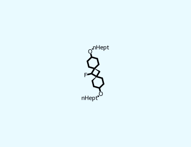 CCCCCCCOC1CC[C@]2(CC1)C[C@@]1(CCC(OCCCCCCC)CC1)C2F